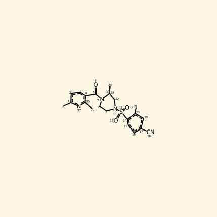 Cc1ccc(C(=O)N2CCN(S(=O)(=O)c3ccc(C#N)cc3C)C[C@@H]2C)c(C)n1